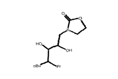 CCCCC(C(C)C)C(O)C(O)CN1CCOC1=O